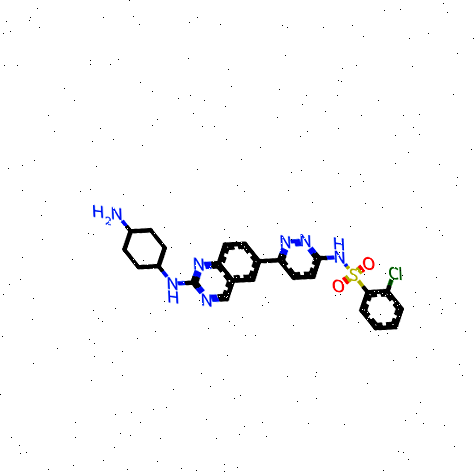 NC1CCC(Nc2ncc3cc(-c4ccc(NS(=O)(=O)c5ccccc5Cl)nn4)ccc3n2)CC1